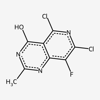 Cc1nc(O)c2c(Cl)nc(Cl)c(F)c2n1